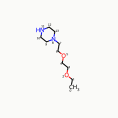 CCOCCOCCN1CCNCC1